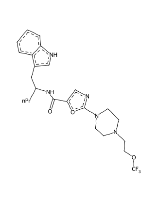 CCCC(Cc1c[nH]c2ccccc12)NC(=O)c1cnc(N2CCN(CCOC(F)(F)F)CC2)o1